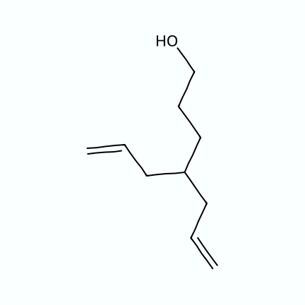 C=CCC(CC=C)CCCO